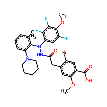 COc1cc(CC(=O)NN(c2cc(F)c(OC)c(F)c2F)c2c(C)cccc2N2CCCCC2)c(Br)cc1C(=O)O